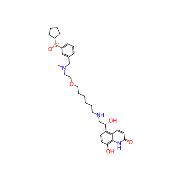 CN(CCOCCCCCCNC[C@H](O)c1ccc(O)c2[nH]c(=O)ccc12)Cc1cccc([S+]([O-])C2CCCC2)c1